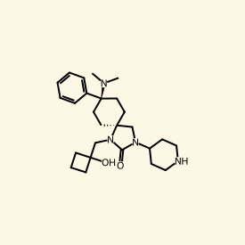 CN(C)[C@]1(c2ccccc2)CC[C@]2(CC1)CN(C1CCNCC1)C(=O)N2CC1(O)CCC1